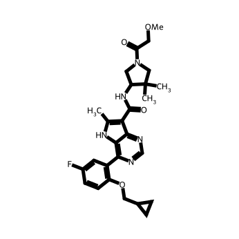 COCC(=O)N1CC(NC(=O)c2c(C)[nH]c3c(-c4cc(F)ccc4OCC4CC4)ncnc23)C(C)(C)C1